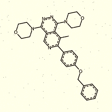 Cc1c(-c2ccc(OCc3ccccc3)cc2)ncc2c(N3CCOCC3)nnc(N3CCOCC3)c12